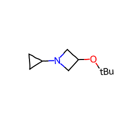 CC(C)(C)OC1CN(C2CC2)C1